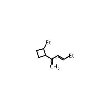 C=C(/C=C/CC)C1CCC1CC